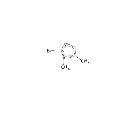 Cc1ccc(Br)p1C